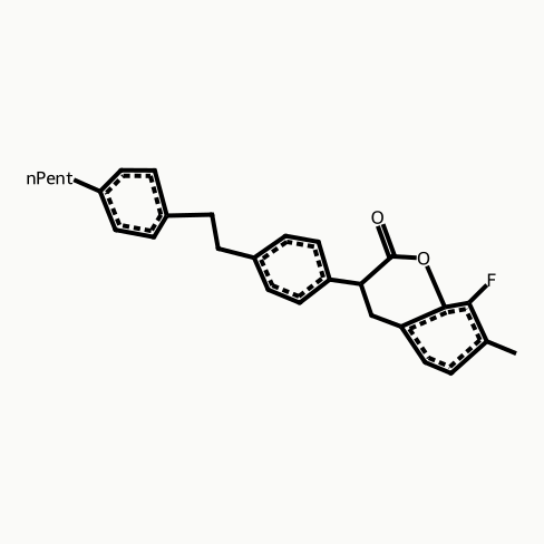 CCCCCc1ccc(CCc2ccc(C3Cc4ccc(C)c(F)c4OC3=O)cc2)cc1